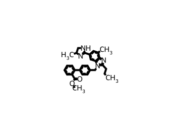 CCCc1nc2c(C)cc(C3=NC(C)CN3)cc2n1Cc1ccc(-c2ccccc2C(=O)OC)cc1